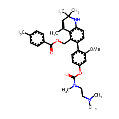 COc1cc(OC(=O)N(C)CCN(C)C)ccc1-c1ccc2c(c1COC(=O)c1ccc(C)cc1)C(C)=CC(C)(C)N2